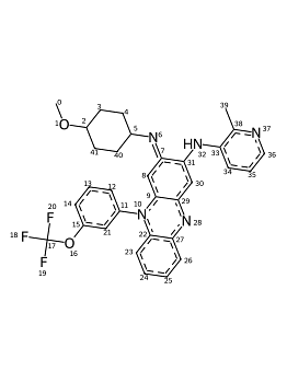 COC1CCC(N=c2cc3n(-c4cccc(OC(F)(F)F)c4)c4ccccc4nc-3cc2Nc2cccnc2C)CC1